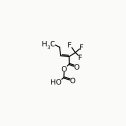 CCC=C(C(=O)OC(=O)O)C(F)(F)F